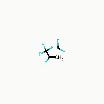 C=C(F)C(F)(F)F.FCF